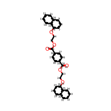 O=C(OCCOc1cccc2ccccc12)c1ccc(C(=O)OCCOc2cccc3ccccc23)cc1